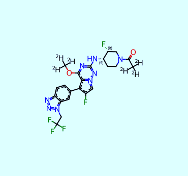 [2H]C([2H])([2H])Oc1nc(N[C@H]2CCN(C(=O)C([2H])([2H])[2H])C[C@H]2F)nn2cc(F)c(-c3ccc4nnn(CC(F)(F)F)c4c3)c12